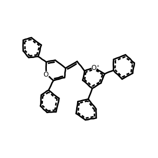 C(=C1C=C(c2ccccc2)OC(c2ccccc2)=C1)c1cc(-c2ccccc2)cc(-c2ccccc2)[o+]1